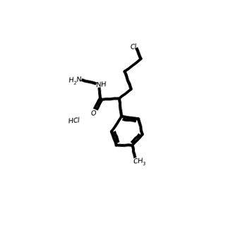 Cc1ccc(C(CCCCl)C(=O)NN)cc1.Cl